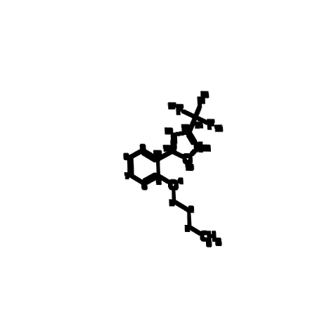 CCCCOc1ccccc1-c1cc(C(F)(F)F)no1